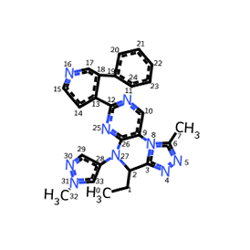 CCC1c2nnc(C)n2-c2cnc(-c3ccncc3-c3ccccc3)nc2N1c1cnn(C)c1